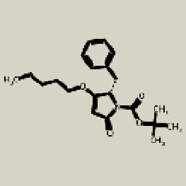 CCCCCOC1=CC(=O)N(C(=O)OC(C)(C)C)[C@H]1Cc1ccccc1